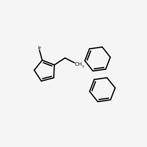 C1=CCCC=C1.C1=CCCC=C1.CCC1=[C]([Ir])CC=C1